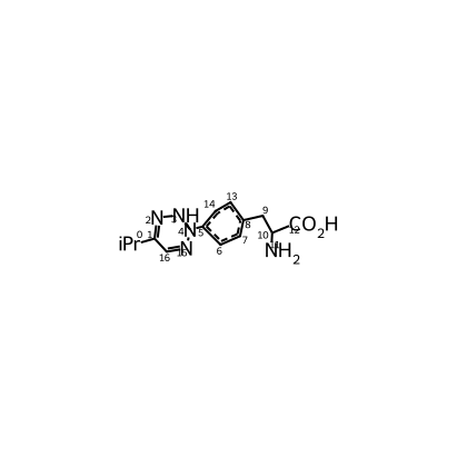 CC(C)C1=NNN(c2ccc(CC(N)C(=O)O)cc2)N=C1